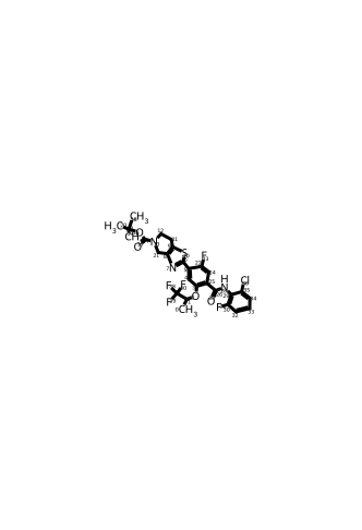 CC(Oc1cc(-c2nc3c(s2)CCN(C(=O)OC(C)(C)C)C3)c(F)cc1C(=O)Nc1c(F)cccc1Cl)C(F)(F)F